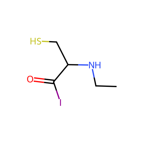 CCNC(CS)C(=O)I